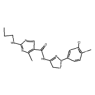 CCCNc1ncc(C(=O)NC2=NN(c3ccc(C)c(Cl)c3)CC2)c(C)n1